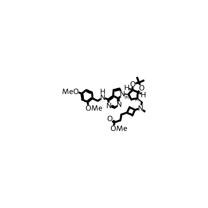 COC(=O)CCC1CC(N(C)C[C@H]2C[C@@H](n3ccc4c(NCc5ccc(OC)cc5OC)ncnc43)[C@@H]3OC(C)(C)O[C@H]23)C1